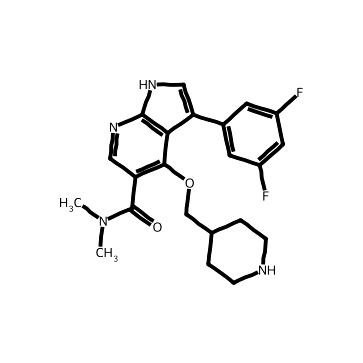 CN(C)C(=O)c1cnc2[nH]cc(-c3cc(F)cc(F)c3)c2c1OCC1CCNCC1